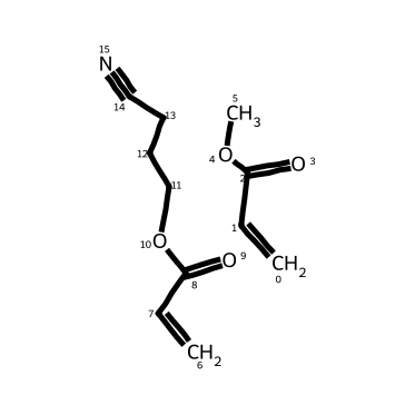 C=CC(=O)OC.C=CC(=O)OCCCC#N